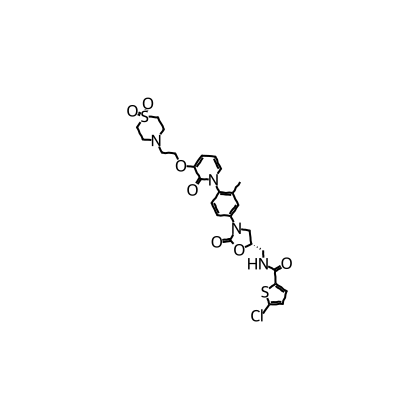 Cc1cc(N2C[C@H](CNC(=O)c3ccc(Cl)s3)OC2=O)ccc1-n1cccc(OCCN2CCS(=O)(=O)CC2)c1=O